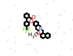 COc1ccc2ccccc2c1CN1CCc2cc(OC(=O)c3ccccc3-c3ccc(C(F)(F)F)cc3)ccc2C1